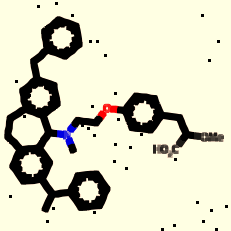 COC(Cc1ccc(OCCN(C)C2c3ccc(Cc4ccccc4)cc3CCc3ccc(C(C)c4ccccc4)cc32)cc1)C(=O)O